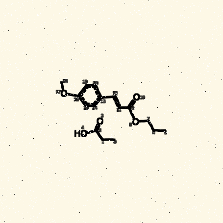 CCC(=O)O.CCCOC(=O)/C=C/c1ccc(OC)cc1